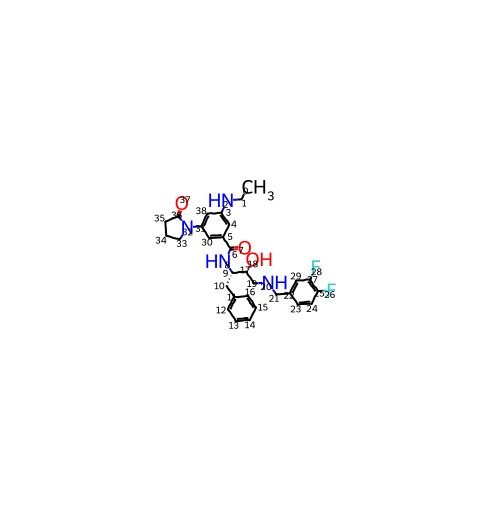 CCNc1cc(C(=O)N[C@@H](Cc2ccccc2)[C@H](O)CNCc2ccc(F)c(F)c2)cc(N2CCCC2=O)c1